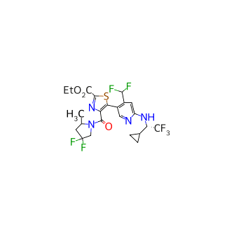 CCOC(=O)c1nc(C(=O)N2CC(F)(F)CC2C)c(-c2cnc(N[C@@H](C3CC3)C(F)(F)F)cc2C(F)F)s1